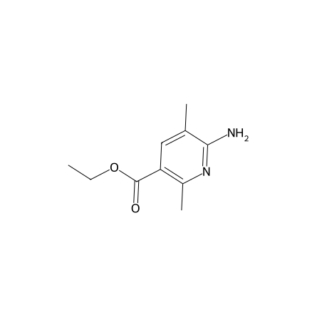 CCOC(=O)c1cc(C)c(N)nc1C